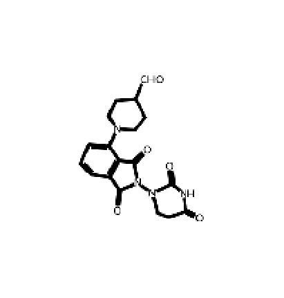 O=CC1CCN(c2cccc3c2C(=O)N(N2CCC(=O)NC2=O)C3=O)CC1